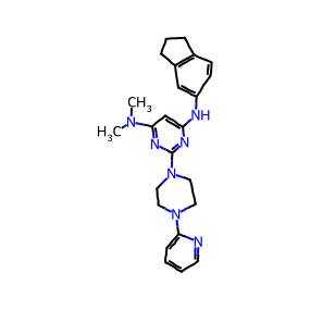 CN(C)c1cc(Nc2ccc3c(c2)CCC3)nc(N2CCN(c3ccccn3)CC2)n1